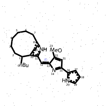 CCCCC1CCCCCCc2cc1c(/C=C1/N=C(c3ccc[nH]3)C=C1OC)[nH]2